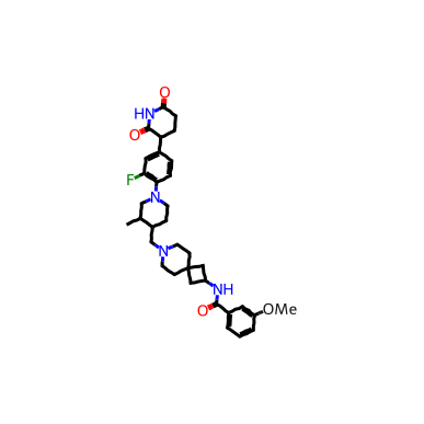 COc1cccc(C(=O)NC2CC3(CCN(CC4CCN(c5ccc(C6CCC(=O)NC6=O)cc5F)CC4C)CC3)C2)c1